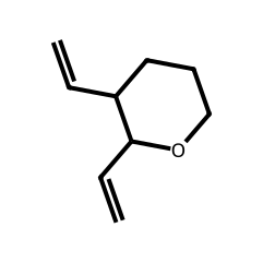 C=CC1CCCOC1C=C